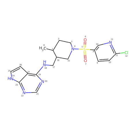 CC1CCN(S(=O)(=O)c2ccc(Cl)nc2)CC1CNc1ncnc2[nH]ccc12